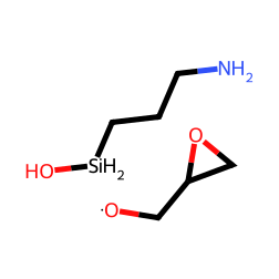 NCCC[SiH2]O.[O]CC1CO1